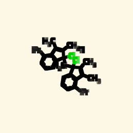 CC1=C(C)C(Cl)([SiH2]C2(Cl)C(C)=C(C)c3c(C(C)C)cccc32)c2cccc(C(C)C)c21.[Ti]